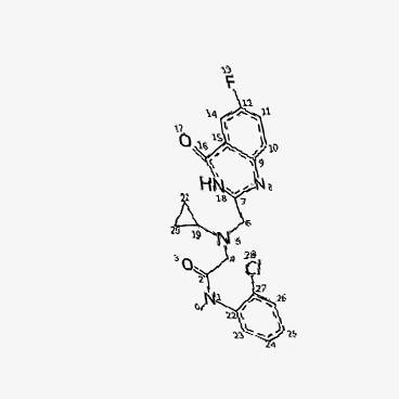 CN(C(=O)CN(Cc1nc2ccc(F)cc2c(=O)[nH]1)C1CC1)c1ccccc1Cl